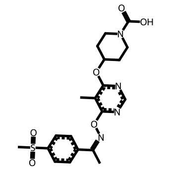 C/C(=N/Oc1ncnc(OC2CCN(C(=O)O)CC2)c1C)c1ccc(S(C)(=O)=O)cc1